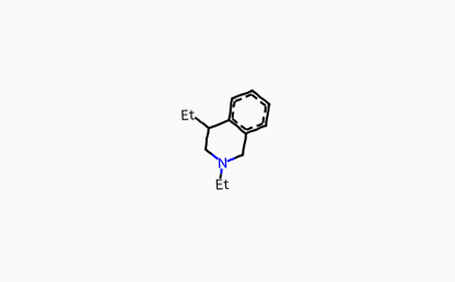 CCC1CN(CC)Cc2ccccc21